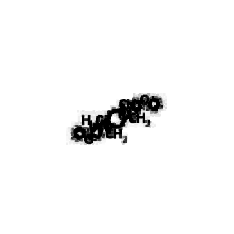 C=C1/C2=C\C=C3/C/C(=C\C=C/1C(=C)N(c1ccc(Oc4ccccc4)cc1)C2=C)C(=C)N(c1ccc(Oc2ccccc2)cc1)C3=C